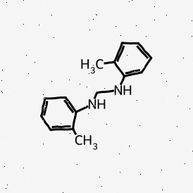 Cc1ccccc1NCNc1ccccc1C